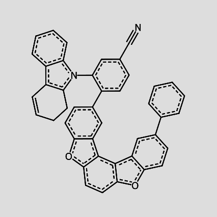 N#Cc1ccc(-c2ccc3oc4ccc5oc6ccc(-c7ccccc7)cc6c5c4c3c2)c(-n2c3c(c4ccccc42)C=CCC3)c1